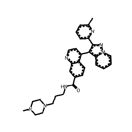 Cc1cccc(-c2nn3ccccc3c2-c2ccnc3cc(C(=O)NCCCN4CCN(C)CC4)ccc23)n1